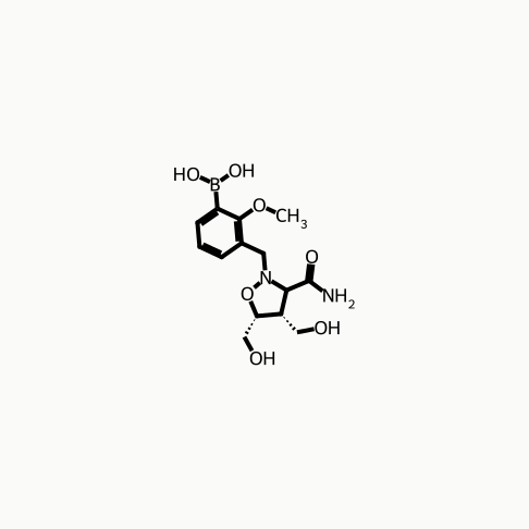 COc1c(CN2O[C@@H](CO)[C@@H](CO)C2C(N)=O)cccc1B(O)O